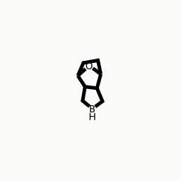 B1CC2C3CCC(O3)C2C1